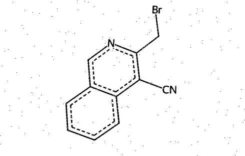 N#Cc1c(CBr)ncc2ccccc12